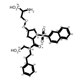 NC(CSSC1CC(C(=O)N(CCc2ccccc2)CC(=O)O)N(S(=O)(=O)c2ccc3ccccc3c2)C1)C(=O)O